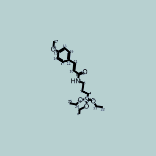 CCO[Si](CCCNC(=O)C=Cc1ccc(OC)cc1)(OCC)OCC